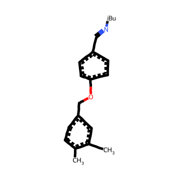 CCC(C)N=Cc1ccc(OCc2ccc(C)c(C)c2)cc1